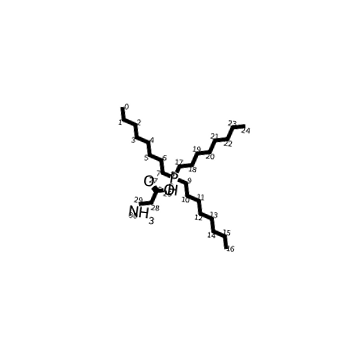 CCCCCCCC[PH](CCCCCCCC)(CCCCCCCC)OC(=O)CC.N